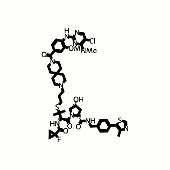 CNc1nc(Nc2ccc(C(=O)N3CCC4(CCN(CCCSC(C)(C)[C@H](NC(=O)C5(F)CC5)C(=O)N5C[C@H](O)C[C@@H]5C(=O)NCc5ccc(-c6scnc6C)cc5)CC4)CC3)cc2OC)ncc1Cl